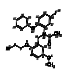 COc1ccc(OCCBr)c(CN(C(C)=O)c2cc(F)ccc2Oc2ccccc2)c1